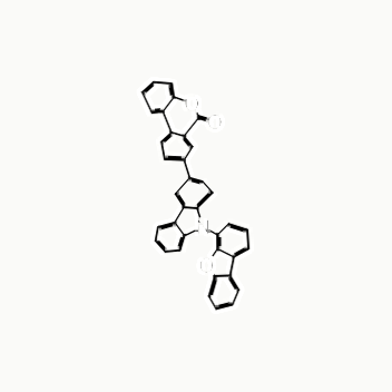 O=c1oc2ccccc2c2ccc(-c3ccc4c(c3)c3ccccc3n4-c3cccc4c3oc3ccccc34)cc12